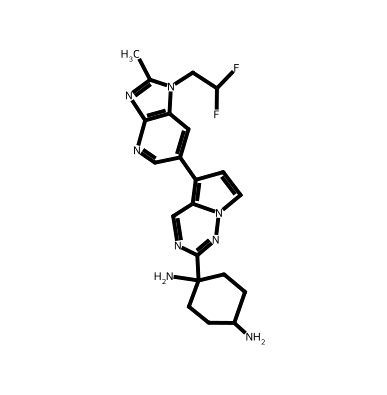 Cc1nc2ncc(-c3ccn4nc(C5(N)CCC(N)CC5)ncc34)cc2n1CC(F)F